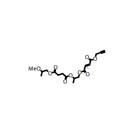 C#CCOC(=O)/C=C/C(=O)OCC(C)OC(=O)CCC(=O)OCC(C)OC